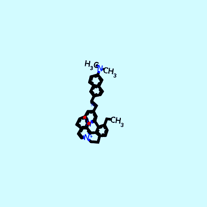 CCc1ccc2c(c1-c1cc(/C=C/c3ccc4cc(N(C)C)ccc4c3)ccn1)-c1c3ccccc3cc[n+]1CC2